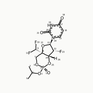 CC(C)OP1(=O)OC[C@@]2(C(F)F)O[C@@H](n3ccc(=O)[nH]c3=O)[C@H](F)[C@@H]2O1